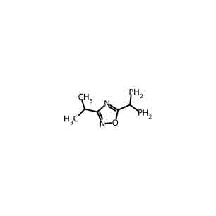 CC(C)c1noc(C(P)P)n1